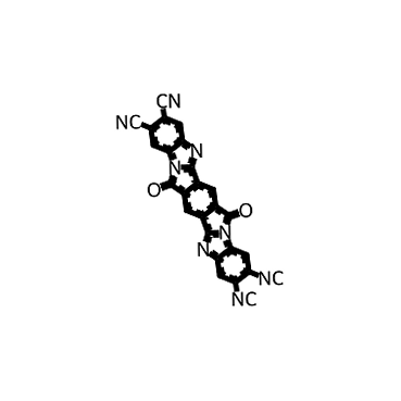 [C-]#[N+]c1cc2nc3c4cc5c(=O)n6c7cc(C#N)c(C#N)cc7nc6c5cc4c(=O)n3c2cc1[N+]#[C-]